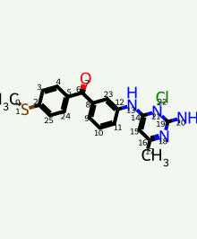 CSc1ccc(C(=O)c2cccc(NC3=CC(C)=NC(N)N3Cl)c2)cc1